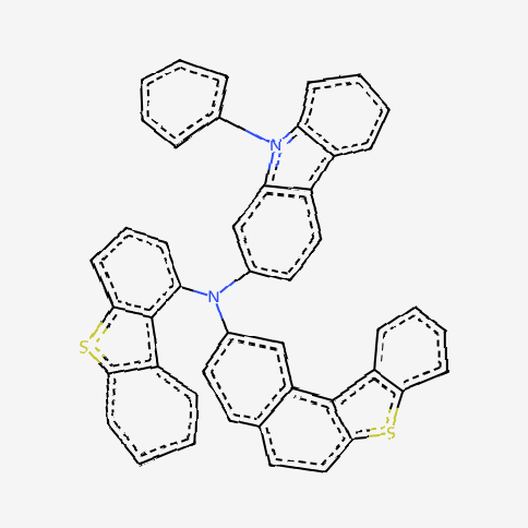 c1ccc(-n2c3ccccc3c3ccc(N(c4ccc5ccc6sc7ccccc7c6c5c4)c4cccc5sc6ccccc6c45)cc32)cc1